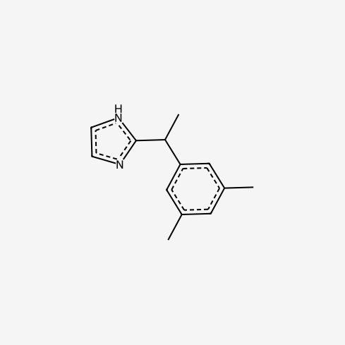 Cc1cc(C)cc(C(C)c2ncc[nH]2)c1